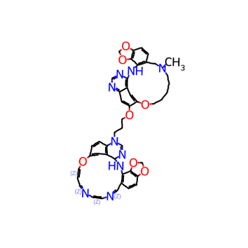 CN1CCCCCOc2cc3c(ncnc3cc2OCCCN2C=NC3Nc4c(ccc5c4OCO5)\C=N/C=C\N=C/C=C\Oc4ccc2c3c4)Nc2c(ccc3c2OCO3)C1